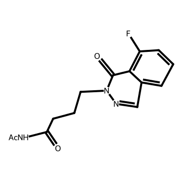 CC(=O)NC(=O)CCCn1ncc2cccc(F)c2c1=O